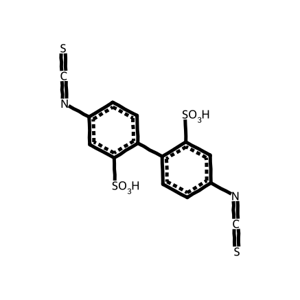 O=S(=O)(O)c1cc(N=C=S)ccc1-c1ccc(N=C=S)cc1S(=O)(=O)O